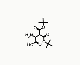 CC(C)(C)OC(=O)C(C(=O)OC(C)(C)C)C(N)C(=O)O